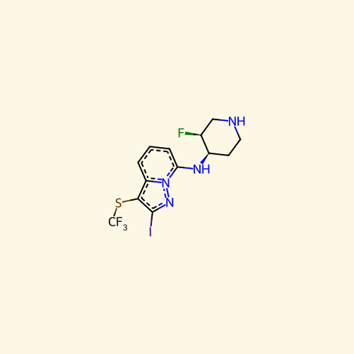 F[C@H]1CNCC[C@H]1Nc1cccc2c(SC(F)(F)F)c(I)nn12